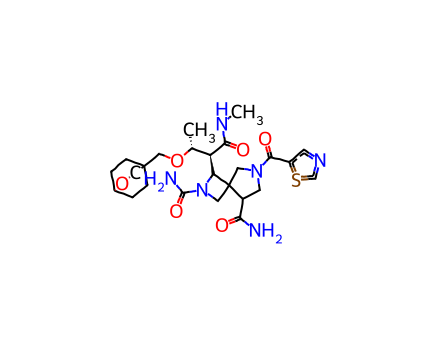 CNC(=O)[C@@H](C1N(C(N)=O)CC12CN(C(=O)c1cncs1)CC2C(N)=O)[C@@H](C)OCC12CCC(CC1)OC2